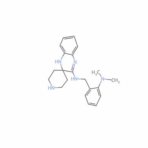 CN(C)c1ccccc1CNC1=Nc2ccccc2NC12CCNCC2